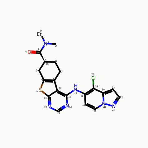 CCN(C)C(=O)[C@H]1CCc2c(sc3ncnc(Nc4ccn5nccc5c4Cl)c23)C1